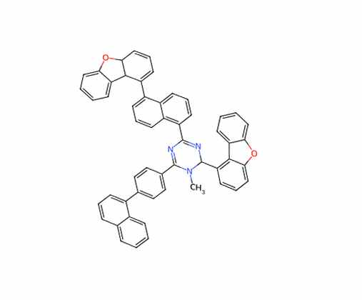 CN1C(c2ccc(-c3cccc4ccccc34)cc2)=NC(c2cccc3c(C4=CC=CC5Oc6ccccc6C45)cccc23)=NC1c1cccc2oc3ccccc3c12